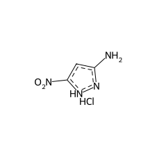 Cl.Nc1cc([N+](=O)[O-])[nH]n1